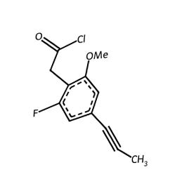 CC#Cc1cc(F)c(CC(=O)Cl)c(OC)c1